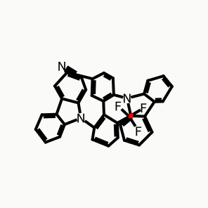 N#Cc1ccc(-n2c3ccccc3c3ccccc32)c(-c2c(-n3c4ccccc4c4ccccc43)cccc2C(F)(F)F)c1